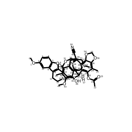 COc1ccc2oc3c(c2c1)CCN[C@]31CS[C@@H]2c3c(OC(C)=O)c(C)c4c(c3/C(=C\OC1=O)N1[C@@H]2[C@@H]2c3c(cc(C)c(OC)c3O)CC1(C#N)CN2C)OCO4